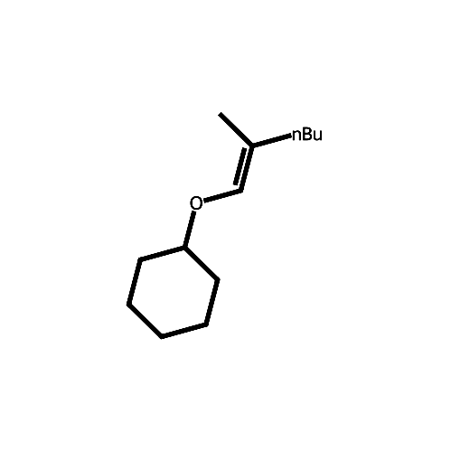 CCCCC(C)=COC1CCCCC1